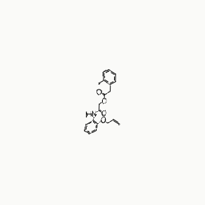 C=CCOc1ccccc1NC(=O)COC(=O)Cc1ccccc1C